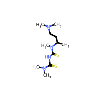 CC(CCN(C)C)N(C)C(=S)NC(=S)N(C)C